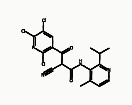 Cc1ccnc(C(C)C)c1NC(=O)C(C#N)C(=O)c1cc(Cl)c(Cl)nc1Cl